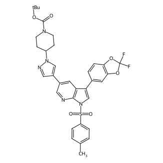 Cc1ccc(S(=O)(=O)n2cc(-c3ccc4c(c3)OC(F)(F)O4)c3cc(-c4cnn(C5CCN(C(=O)OC(C)(C)C)CC5)c4)cnc32)cc1